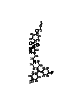 C#CCOc1ccc(S(=O)(=O)n2cc(CCN3CCC(=C(c4ccc(F)cc4)c4ccc(F)cc4)CC3)nn2)cc1